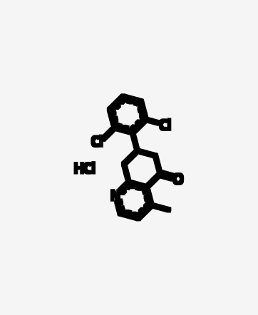 Cc1ccnc2c1C(=O)CC(c1c(Cl)cccc1Cl)C2.Cl